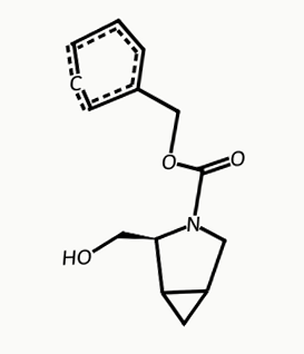 O=C(OCc1ccccc1)N1CC2CC2[C@H]1CO